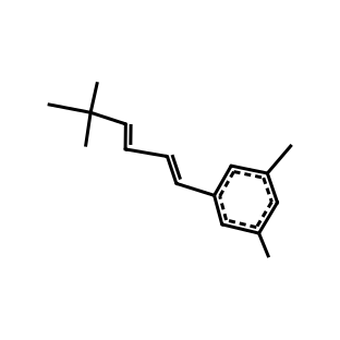 Cc1cc(C)cc(C=CC=CC(C)(C)C)c1